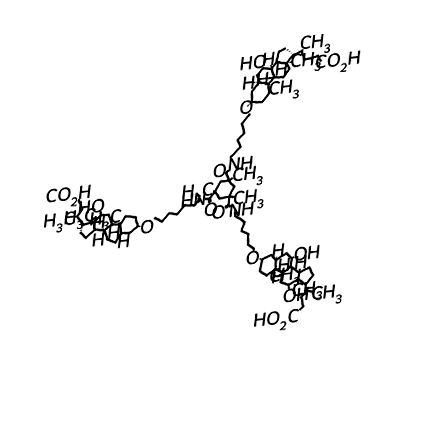 CC(CCC(=O)O)[C@H]1CC[C@H]2[C@@H]3[C@H](O)C[C@@H]4C[C@@H](OCCCCCCNC(=O)C5(C)CC(C)(C(=O)NCCCCCCO[C@H]6CC[C@@]7(C)[C@H](CC[C@@H]8[C@@H]7C[C@H](O)[C@]7(C)[C@@H]([C@H](C)CCC(=O)O)CC[C@@H]87)C6)CC(C)(C(=O)NCCCCCCO[C@H]6CC[C@@]7(C)[C@@H](C6)C[C@@H](O)[C@@H]6[C@@H]7CC[C@]7(C)[C@@H]([C@H](C)CCC(=O)O)CC[C@@H]67)C5)CC[C@]4(C)[C@H]3C[C@H](O)[C@]12C